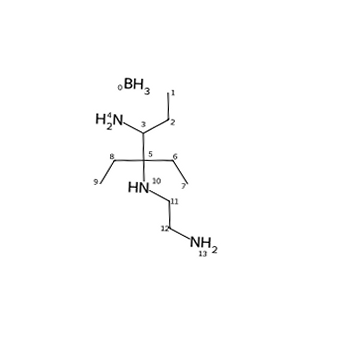 B.CCC(N)C(CC)(CC)NCCN